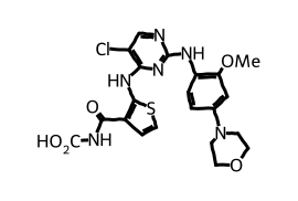 COc1cc(N2CCOCC2)ccc1Nc1ncc(Cl)c(Nc2sccc2C(=O)NC(=O)O)n1